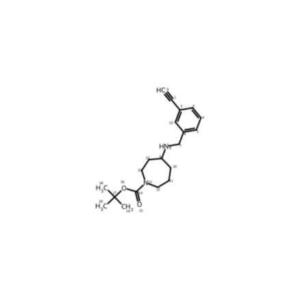 C#Cc1cccc(CNC2CCCN(C(=O)OC(C)(C)C)CC2)c1